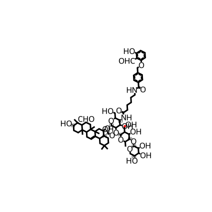 CC1O[C@@H](OC2C(O)[C@@H](NC(=O)CCCCCNC(=O)c3ccc(COc4cccc(O)c4C=O)cc3)C(CO)O[C@H]2OC(=O)[C@]23CCC(C)(C)CC2C2=CCC4C5(C)CC[C@H](O)C(C)(C=O)C5CCC4(C)C2(C)CC3O)C(CO)C(O)[C@H]1O[C@@H]1OC[C@@H](O)C(O)C1O